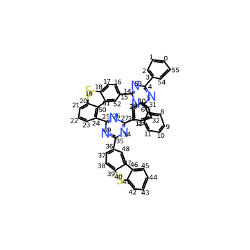 c1ccc(-c2nc(-c3ccccc3)nc(-c3ccc4sc5cccc(-c6nc(-c7ccccc7)nc(-c7ccc8sc9ccccc9c8c7)n6)c5c4c3)n2)cc1